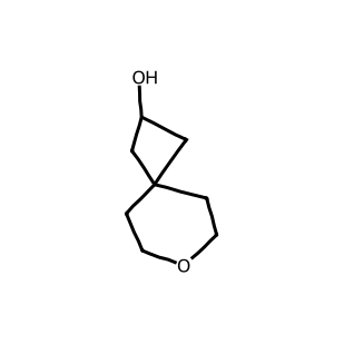 OC1CC2(CCOCC2)C1